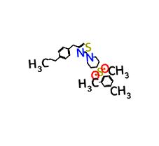 CCCc1ccc(Cc2csc(N3CCC(S(=O)(=O)c4c(C)cc(C)cc4C)CC3)n2)cc1